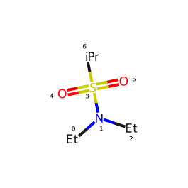 CCN(CC)S(=O)(=O)C(C)C